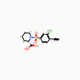 [C]#Cc1ccc(S(=O)(=O)N2CCCC[C@H]2C(=O)O)cc1Cl